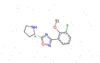 CCOc1c(F)cccc1-c1noc([C@@H]2CCCN2)n1